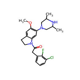 COc1cc2c(cc1N1CC(C)NC(C)C1)N(C(=O)Cc1cccc(Cl)c1F)CC2